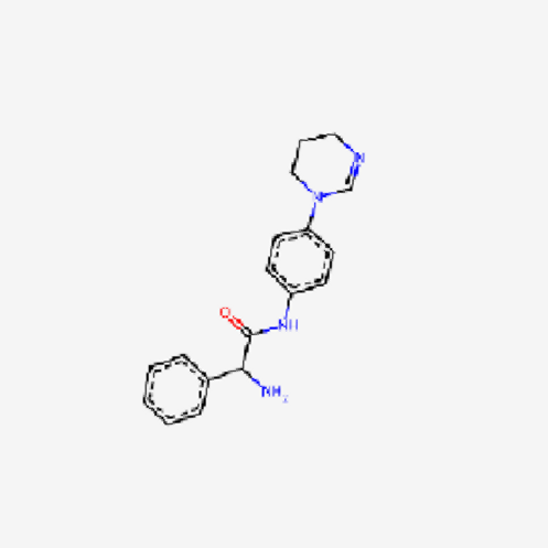 NC(C(=O)Nc1ccc(N2C=NCCC2)cc1)c1ccccc1